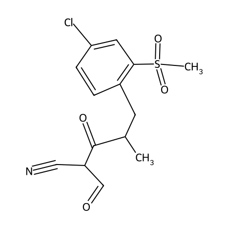 CC(Cc1ccc(Cl)cc1S(C)(=O)=O)C(=O)C(C#N)C=O